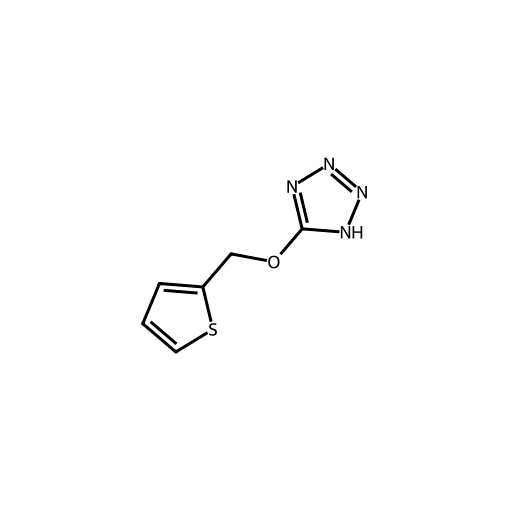 c1csc(COc2nnn[nH]2)c1